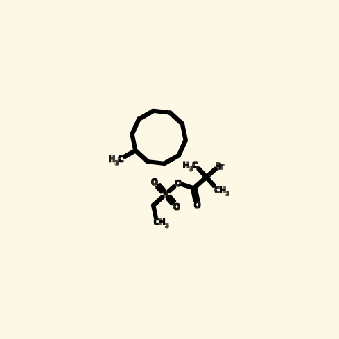 CC1CCCCCCCCC1.CCS(=O)(=O)OC(=O)C(C)(C)Br